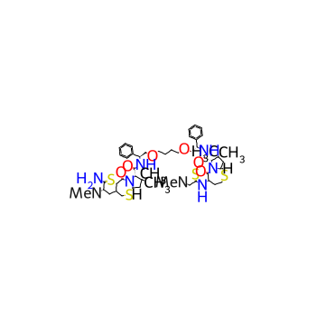 CNCC(=S)N[C@H]1CCS[C@H]2CC(C)(C)[C@@H](C(=O)N[C@H](COCCCCOC[C@@H](NC(=O)[C@H]3N4C(=O)CC(C[C@H](NC)C(N)=S)CS[C@H]4CC3(C)C)c3ccccc3)c3ccccc3)N2C1=O